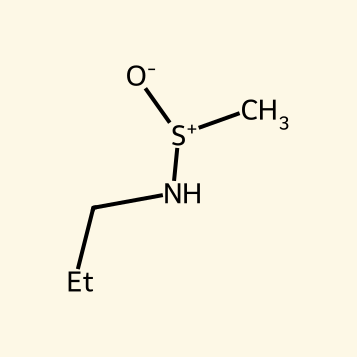 CCCN[S+](C)[O-]